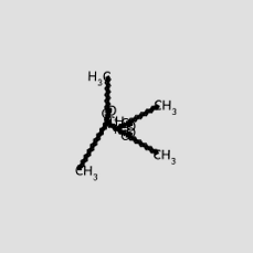 CCCCCCCCCCCCCCCCCC[N+](C)(CCCN(CCOC(=O)CCCCCCCCCCC)CCOC(=O)CCCCCCCCCCC)CCOC(=O)CCCCCCCCCCC